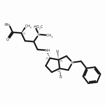 C[C@@H](CC(CN[C@H]1CC[C@@H]2CN(Cc3ccccc3)C[C@@H]21)N(C)C(=O)O)C(=O)C(C)(C)C